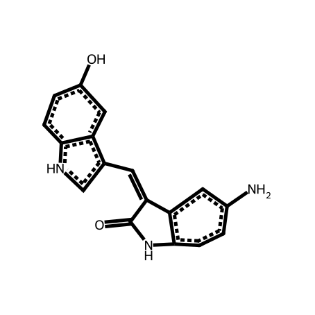 Nc1ccc2c(c1)C(=Cc1c[nH]c3ccc(O)cc13)C(=O)N2